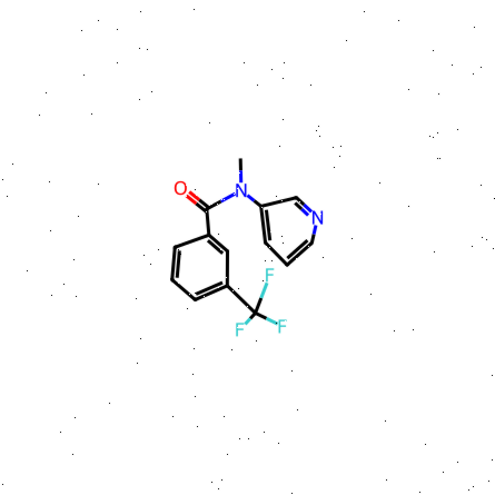 CN(C(=O)c1cccc(C(F)(F)F)c1)c1cccnc1